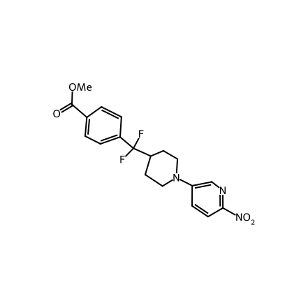 COC(=O)c1ccc(C(F)(F)C2CCN(c3ccc([N+](=O)[O-])nc3)CC2)cc1